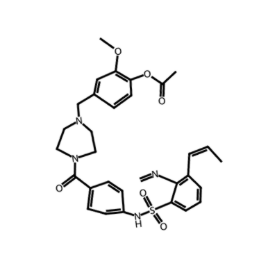 C=Nc1c(/C=C\C)cccc1S(=O)(=O)Nc1ccc(C(=O)N2CCN(Cc3ccc(OC(C)=O)c(OC)c3)CC2)cc1